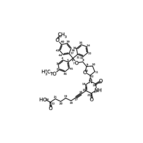 COc1ccc(C(OCC2CCC(n3cc(C#CCCCCC(=O)O)c(=O)[nH]c3=O)O2)(c2ccccc2)c2ccc(OC)cc2)cc1